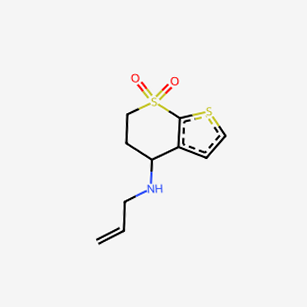 C=CCNC1CCS(=O)(=O)c2sccc21